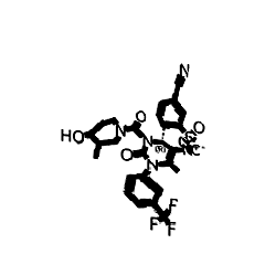 [C-]#[N+]C1=C(C)N(c2cccc(C(F)(F)F)c2)C(=O)N(C(=O)N2CCC(O)C(C)C2)[C@@H]1c1ccc(C#N)cc1S(C)(=O)=O